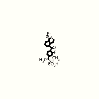 CCOc1nccc2c(C(=O)c3ccc([C@@H](C)NC(=O)O)c(C)c3F)cccc12